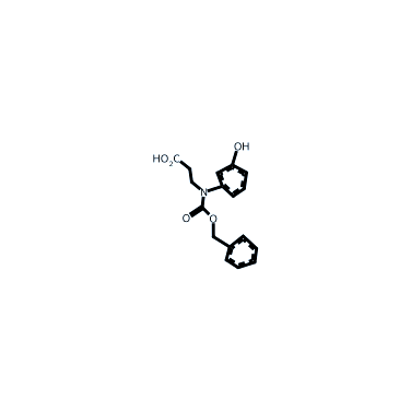 O=C(O)CCN(C(=O)OCc1ccccc1)c1cccc(O)c1